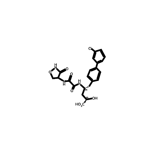 O=C(NC1CONC1=O)C(=O)N[C@H](Cc1ccc(-c2cccc(Cl)c2)cc1)C[C@@H](O)C(=O)O